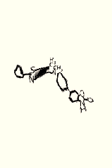 Cc1sc(-c2ccccc2)nc1CN(C)[C@H]1CC[C@H](c2ccc3[nH]c(=O)oc3c2)CC1